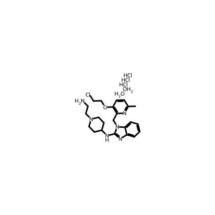 Cc1ccc(OCCCl)c(Cn2c(NC3CCN(CCN)CC3)nc3ccccc32)n1.Cl.Cl.Cl.O.O